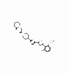 CS(=O)(=O)Oc1cccc(Cl)c1C1CC(c2csc(C3CCN(C(=O)CN4CCCCC4=O)CC3)n2)=NO1